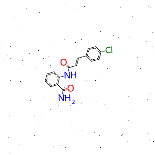 NC(=O)c1ccccc1NC(=O)C=Cc1ccc(Cl)cc1